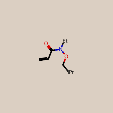 C=CC(=O)N(CC)OCC(C)C